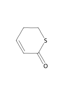 O=C1C=CCCS1